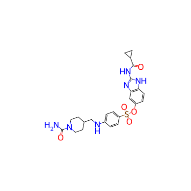 NC(=O)N1CCC(CNc2ccc(S(=O)(=O)Oc3ccc4[nH]c(NC(=O)C5CC5)nc4c3)cc2)CC1